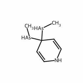 C[AsH]C1([AsH]C)C=CNC=C1